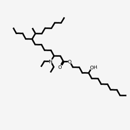 CCCCCCCCC(O)CCCOC(=O)CC(CCCCC(CCCC)C(C)CCCCCC)N(CC)CC